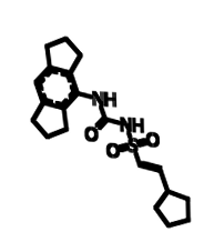 O=C(Nc1c2c(cc3c1CCC3)CCC2)NS(=O)(=O)/C=C/C1CCCC1